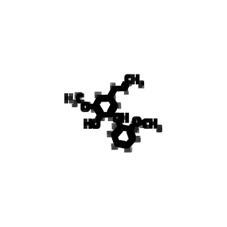 C=CCc1ccc(O)c(OC)c1.COc1ccccc1O